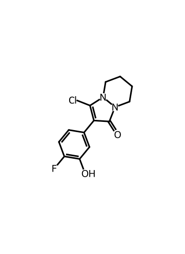 O=c1c(-c2ccc(F)c(O)c2)c(Cl)n2n1CCCC2